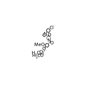 COc1cc(C(=O)N2CCC3(CC2)Oc2cc(Cl)ccc2-n2cccc23)ccc1OC[C@H]1COC(C)(C)O1